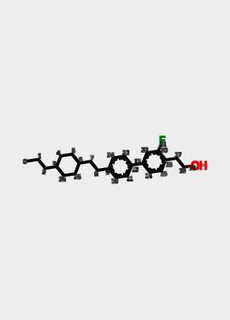 CCCC1CCC(CCc2ccc(-c3ccc(CCO)c(F)c3)cc2)CC1